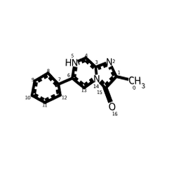 Cc1nc2c[nH]c(-c3ccccc3)cn-2c1=O